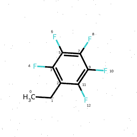 C[CH]c1c(F)c(F)c(F)c(F)c1F